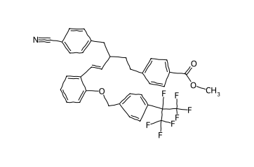 COC(=O)c1ccc(CCC(C=Cc2ccccc2OCc2ccc(C(F)(C(F)(F)F)C(F)(F)F)cc2)Cc2ccc(C#N)cc2)cc1